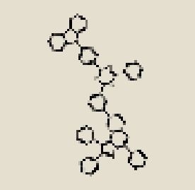 c1ccc(-c2nc(-c3ccc(-n4c5ccccc5c5ccccc54)cc3)nc(-c3cccc(-c4ccc5cc(-c6ccccc6)n6nc(-c7ccccc7)c(-c7ccccc7)c6c5c4)c3)n2)cc1